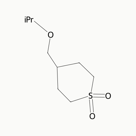 CC(C)OCC1CCS(=O)(=O)CC1